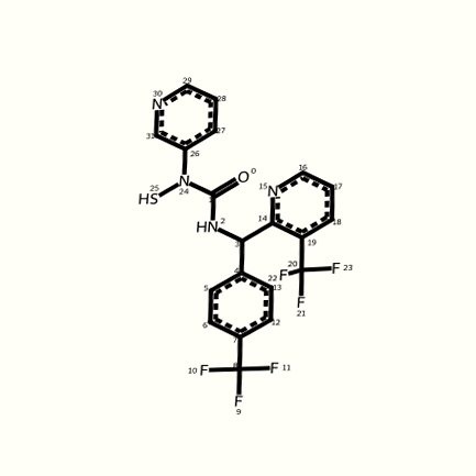 O=C(NC(c1ccc(C(F)(F)F)cc1)c1ncccc1C(F)(F)F)N(S)c1cccnc1